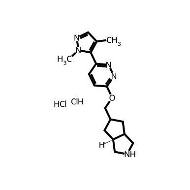 Cc1cnn(C)c1-c1ccc(OCC2CC3CNC[C@H]3C2)nn1.Cl.Cl